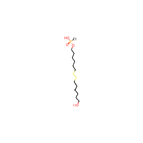 CCP(=O)(O)OCCCCCCSSCCCCCCO